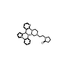 O=C1CCCN1CCN1CCN(c2ncccc2C2Nc3ccccc3-n3cccc32)CC1